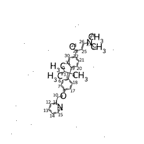 CC(C)C(C)(c1ccc(OCc2ccccn2)cc1)c1ccc(C(=O)C=CN(C)C)cc1